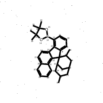 CC1CC2CC(C)C3(c4cccc(B5OC(C)(C)C(C)(C)O5)c4-c4ccc5ccccc5c43)C(C1)C2